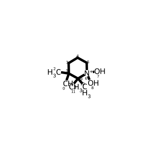 CC1(C)CCC[N+](O)(O)C1(C)C